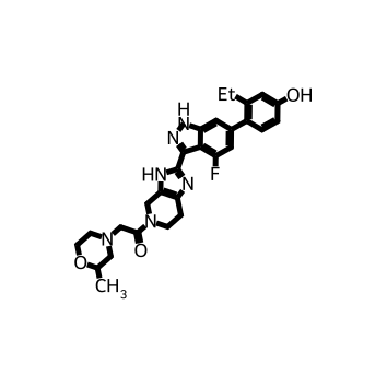 CCc1cc(O)ccc1-c1cc(F)c2c(-c3nc4c([nH]3)CN(C(=O)CN3CCOC(C)C3)CC4)n[nH]c2c1